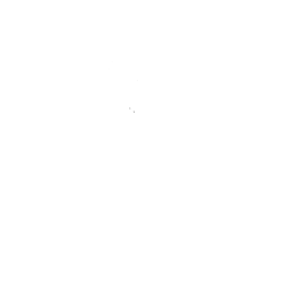 FC(F)(F)c1cccc(C#CSI)n1